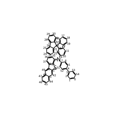 c1ccc(-c2ccc(N(c3cccc(C4(c5ccccc5)c5ccccc5-c5ccccc54)c3)c3cccc4c3sc3cc5ccccc5cc34)cc2)cc1